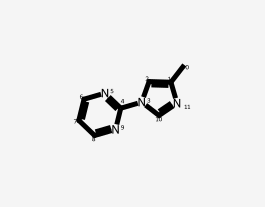 [CH2]c1cn(-c2ncccn2)cn1